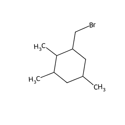 CC1CC(C)C(C)C(CBr)C1